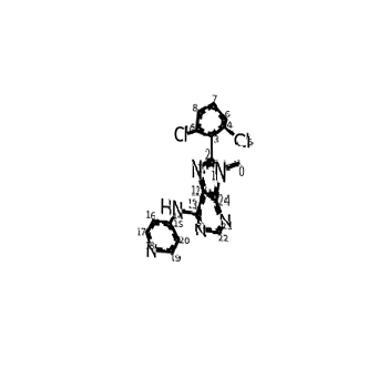 Cn1c(-c2c(Cl)cccc2Cl)nc2c(Nc3ccncc3)ncnc21